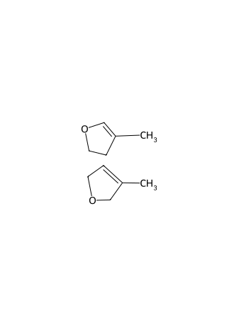 CC1=CCOC1.CC1=COCC1